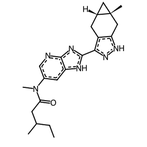 CCC(C)CC(=O)N(C)c1cnc2nc(-c3n[nH]c4c3C[C@@H]3C[C@]3(C)C4)[nH]c2c1